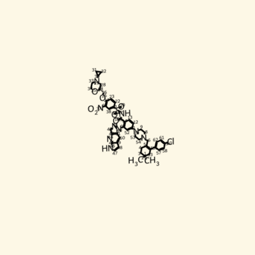 CC1(C)CCC(CN2CCN(c3ccc(C(=O)NS(=O)(=O)c4ccc(OC[C@H]5CN(C6CC6)CCO5)c([N+](=O)[O-])c4)c(-n4ncc5nc6[nH]ccc6cc54)c3)CC2)=C(c2ccc(Cl)cc2)C1